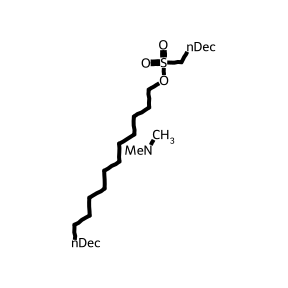 CCCCCCCCCCCCCCCCCCCCCOS(=O)(=O)CCCCCCCCCCC.CNC